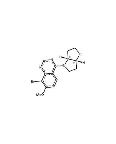 COc1ccc2c(N3CC[C@H]4OCC[C@H]43)ncnc2c1Br